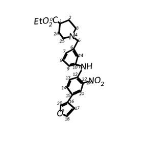 CCOC(=O)C1CCN(Cc2cccc(Nc3ccc(-c4ccoc4)cc3[N+](=O)[O-])c2)CC1